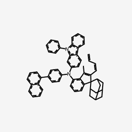 C=C/C=C\C1=C(C)c2c(N(c3ccc(-c4cccc5ccccc45)cc3)c3ccc4c5ccccc5n(-c5ccccc5)c4c3)cccc2C12C1CC3CC(C1)CC2C3